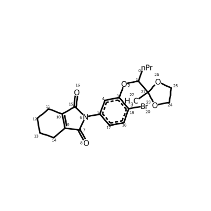 CCCC(Oc1cc(N2C(=O)C3=C(CCCC3)C2=O)ccc1Br)C1(C)OCCO1